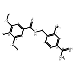 COc1cc(C(=O)NCc2ccc(C(=N)N)cc2N)cc(OC)c1C